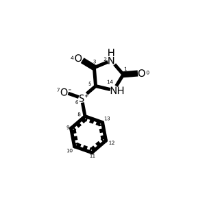 O=C1NC(=O)C([S+]([O-])c2ccccc2)N1